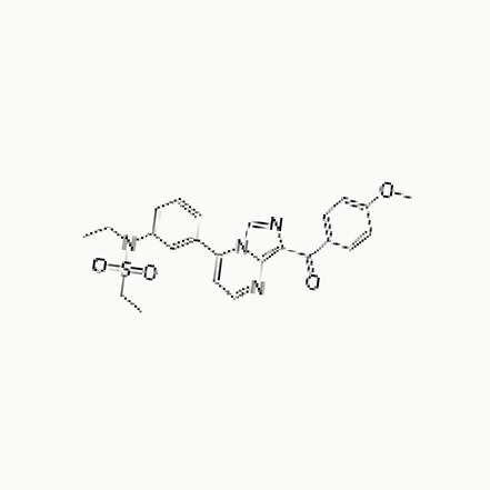 CCN(c1cccc(-c2ccnc3c(C(=O)c4ccc(OC)cc4)ncn23)c1)S(=O)(=O)CC